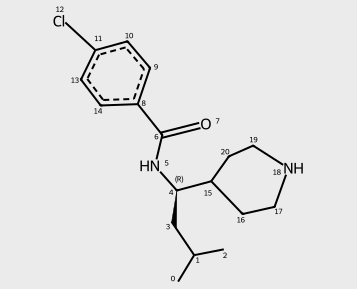 CC(C)C[C@@H](NC(=O)c1ccc(Cl)cc1)C1CCNCC1